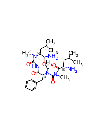 CC(C)C[C@H](N)C(=O)N(C)C(=O)N(C)[C@@H](Cc1ccccc1)C(=O)NC(=O)N(C)[C@@H](CC(C)C)C(N)=O